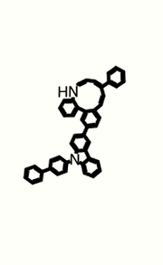 C1=C/Nc2ccccc2-c2cc(-c3ccc4c(c3)c3ccccc3n4-c3ccc(-c4ccccc4)cc3)ccc2\C=C/C(c2ccccc2)=C\1